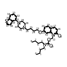 CCCCN(CCCC)C(=O)OCn1c(=O)ccc2ccc(OCCCCN3CCN(c4cccc5sccc45)CC3)cc21